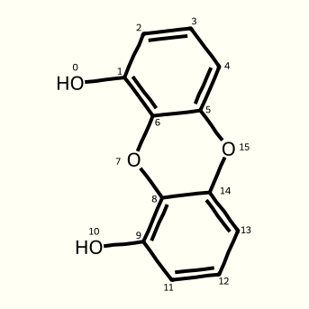 Oc1cccc2c1Oc1c(O)cccc1O2